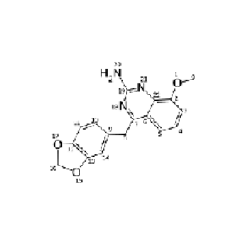 COc1cccc2c(Cc3ccc4c(c3)OCO4)nc(N)nc12